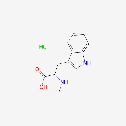 CNC(Cc1c[nH]c2ccccc12)C(=O)O.Cl